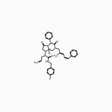 C=CCN(C(=O)NCc1ccc(F)cc1)N1CC(=O)N2[C@@H](c3ccccc3)C(=O)N(C/C(C)=C/C=C\c3ccccc3)C[C@@H]21